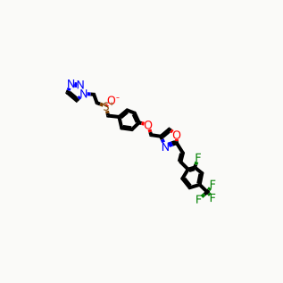 [O-][S+](CCn1ccnn1)Cc1ccc(OCc2coc(C=Cc3ccc(C(F)(F)F)cc3F)n2)cc1